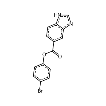 O=C(Oc1ccc(Br)cc1)c1ccc2[nH]cnc2c1